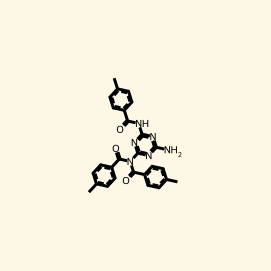 Cc1ccc(C(=O)Nc2nc(N)nc(N(C(=O)c3ccc(C)cc3)C(=O)c3ccc(C)cc3)n2)cc1